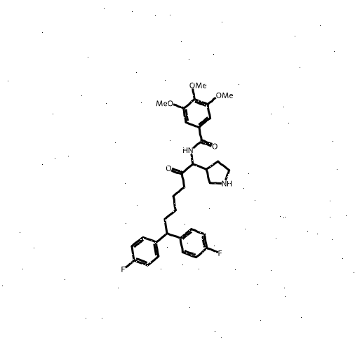 COc1cc(C(=O)NC(C(=O)CCCCC(c2ccc(F)cc2)c2ccc(F)cc2)C2CCNC2)cc(OC)c1OC